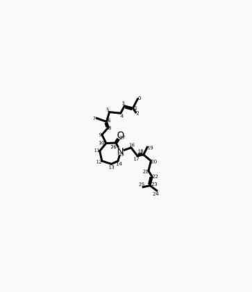 CC(C)=CCC/C(C)=C/CC1CCCCN(C/C=C(\C)CCC=C(C)C)C1=O